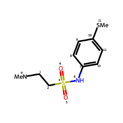 CNCCS(=O)(=O)Nc1ccc(SC)cc1